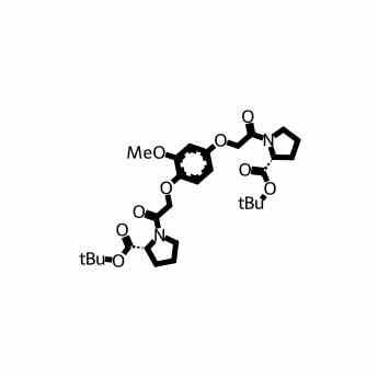 COc1cc(OCC(=O)N2CCC[C@@H]2C(=O)OC(C)(C)C)ccc1OCC(=O)N1CCC[C@@H]1C(=O)OC(C)(C)C